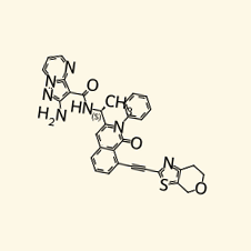 C[C@H](NC(=O)c1c(N)nn2cccnc12)c1cc2cccc(C#Cc3nc4c(s3)COCC4)c2c(=O)n1-c1ccccc1